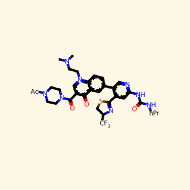 CCCNC(=O)Nc1cc(C2=NC(C(F)(F)F)CS2)c(-c2ccc3c(c2)c(=O)c(C(=O)N2CCN(C(C)=O)CC2)cn3CCN(C)C)cn1